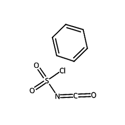 O=C=NS(=O)(=O)Cl.c1ccccc1